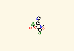 CC(=O)N1Cc2cc(-c3ccccn3)ccc2CCc2cc(Cl)ccc21.O=C(O)C(F)(F)F